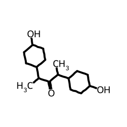 CC(C(=O)C(C)C1CCC(O)CC1)C1CCC(O)CC1